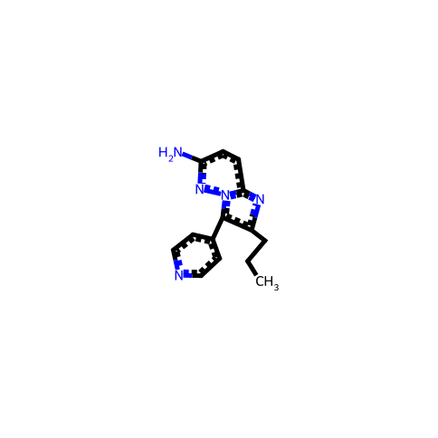 CCCc1nc2ccc(N)nn2c1-c1ccncc1